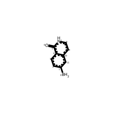 Bc1ccc2c(=O)[nH]ccc2c1